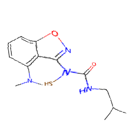 CC(C)CNC(=O)N(S)c1noc2cccc(N(C)C)c12